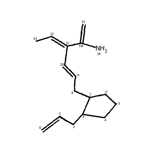 C=CCC1CCCC1C/C=C/C(=C\C)C(=C)N